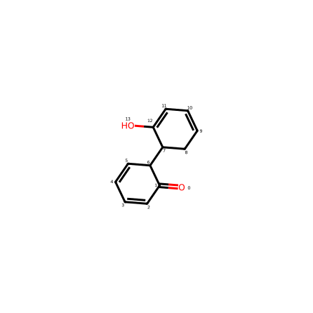 O=C1C=CC=CC1C1CC=CC=C1O